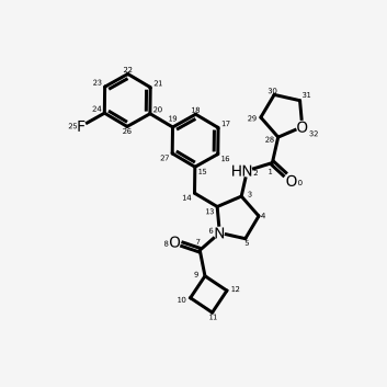 O=C(NC1CCN(C(=O)C2CCC2)C1Cc1cccc(-c2cccc(F)c2)c1)C1CCCO1